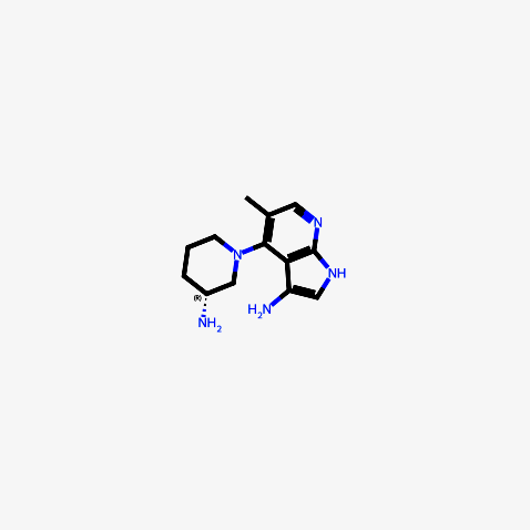 Cc1cnc2[nH]cc(N)c2c1N1CCC[C@@H](N)C1